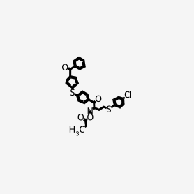 CCC(=O)O/N=C(\CCSc1ccc(Cl)cc1)C(=O)c1ccc(Sc2ccc(C(=O)c3ccccc3)cc2)cc1